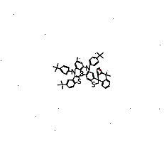 Cc1cc2c3c(c1)N(c1ccc(C(C)(C)C)cc1)c1c(sc4ccc(C(C)(C)C)cc14)B3c1cc3c(cc1N2c1ccc(C(C)(C)C)cc1)C1(CS3)c2ccccc2C(C)(C)c2ccccc21